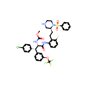 COC(=O)N[C@H](C(=O)Nc1cccc(F)c1CC[C@H]1CNCCN1S(=O)(=O)c1ccccc1)[C@@H](c1ccc(Cl)cc1)c1cccc(OC(F)(F)F)c1